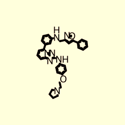 c1ccc(-c2cc(CNc3cccc(-c4cccc5nc(Nc6ccc(OCCN7CCCC7)cc6)nn45)c3)no2)cc1